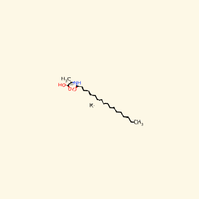 CCCCCCCCCCCCCCCCCC(=O)N[C@@H](C)C(=O)O.[K]